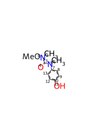 CON(C)C(=O)N(C)c1ccc(O)cc1